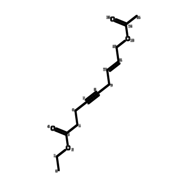 CCOC(=O)CCC#CCC=CCOC(C)=O